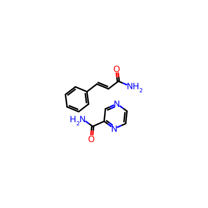 NC(=O)C=Cc1ccccc1.NC(=O)c1cnccn1